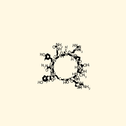 C[C@@H](O)[C@@H]1NC(=O)[C@@H](NC(=O)[C@H](CS)NC(=O)CN)CCC(=O)NCCCC[C@@H](C(=O)N[C@@H](Cc2ccc(O)cc2)C(N)=O)NC(=O)[C@H](CCC(N)=O)NC(=O)[C@H](CCc2ccc(O)c(I)c2)NC(=O)[C@H](CCCNC(N)=O)NC(=O)[C@H](CS)NC(=O)[C@H](CCCNC(=N)N)NC(=O)[C@@H]2CCCN2C(=O)[C@H](CC(=O)O)NC1=O